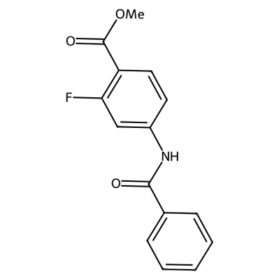 COC(=O)c1ccc(NC(=O)c2ccccc2)cc1F